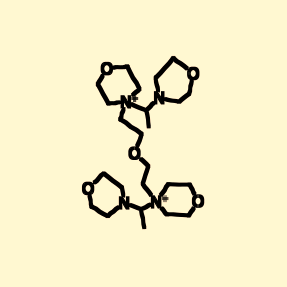 CC(N1CCOCC1)[N+]1(CCOCC[N+]2(C(C)N3CCOCC3)CCOCC2)CCOCC1